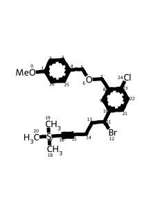 COc1ccc(COCc2cc(C(Br)CCC#CS(C)(C)C)ccc2Cl)cc1